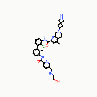 Cc1cc(C(=O)Nc2cccc(-c3cccc(NC(=O)c4ccc(CNCCO)cn4)c3C)c2Cl)nc2c1CCN(C1CC3(CNC3)C1)C2